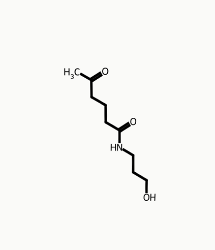 CC(=O)CCCC(=O)NCCCO